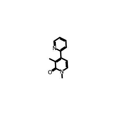 Cc1c(-c2ccccn2)ccn(C)c1=O